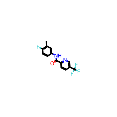 Cc1cc(NC(=O)c2ccc(C(F)(F)F)cn2)ccc1F